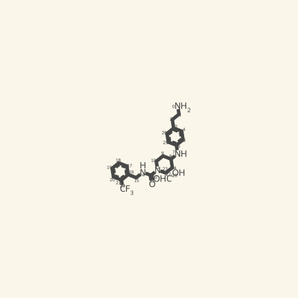 NCCc1ccc(NC2CCN(C(=O)NCc3ccccc3C(F)(F)F)CC2)cc1.O=CO